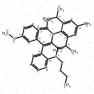 CCCCn1c(=O)c(N(C(N)=O)c2c(C(C)C)cc(N)cc2C(C)C)c(-c2cccc(OC)c2)c2cccnc21